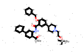 COC(=O)c1ccc(-c2ccccc2)cc1NC(=O)c1cc(C2CCN(CCO[Si](C)(C)C(C)(C)C)CC2)ccc1OCc1ccccc1